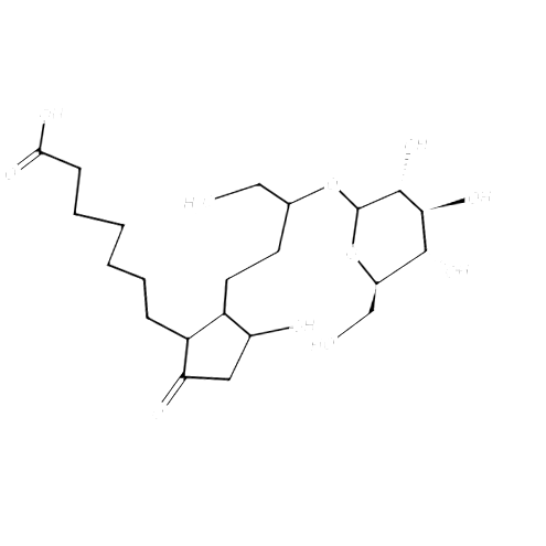 CCC(CCC1C(O)CC(=O)C1CCCCCCC(=O)O)OC1O[C@H](CO)[C@@H](O)[C@H](O)[C@H]1O